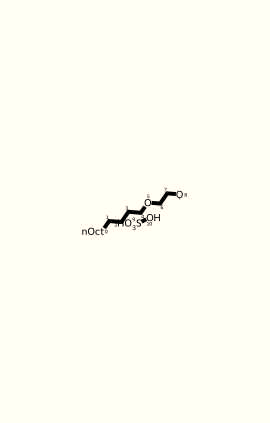 CCCCCCCCCCCCOCC[O].O=S(=O)(O)O